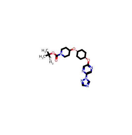 CC(C)(C)OC(=O)N1CCC(O[C@H]2CC[C@H](Oc3cnc(-n4cncn4)cn3)CC2)CC1